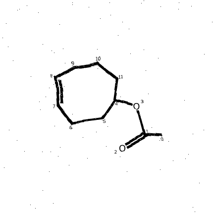 CC(=O)OC1CC/C=C\CCC1